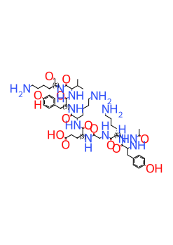 CC(=O)NNC(Cc1ccc(O)cc1)C(=O)N[C@@H](CCCCN)C(=O)NCC(=O)N[C@@H](CCC(=O)O)C(=O)NC(CCCCN)C(=O)N[C@@H](Cc1ccc(O)cc1)C(=O)NC(C(=O)N[C@H](C=O)CCCCN)C(C)C